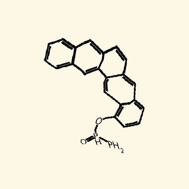 O=[PH](P)Oc1cccc2cc3ccc4cc5ccccc5cc4c3cc12